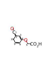 O=C=C1C=C(OCC(=O)O)C=CC1